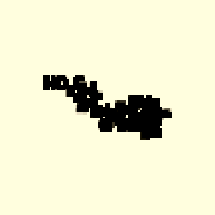 O=C(O)c1ccc(OCC(=O)c2ccc(C34CC5CC(CC(C5)C3)C4)c(O)c2)cc1